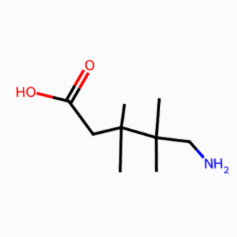 CC(C)(CN)C(C)(C)CC(=O)O